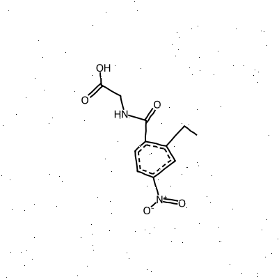 CCc1cc([N+](=O)[O-])ccc1C(=O)NCC(=O)O